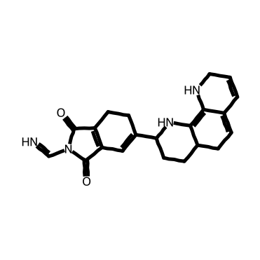 N=CN1C(=O)C2=C(CCC(C3CCC4CC=C5C=CCNC5=C4N3)=C2)C1=O